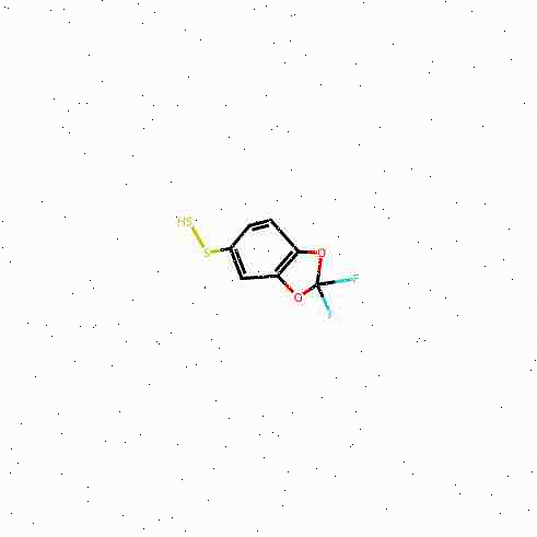 FC1(F)Oc2ccc(SS)cc2O1